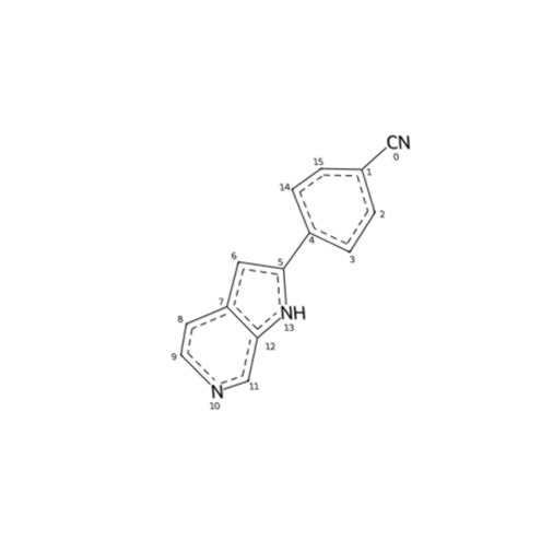 N#Cc1ccc(-c2cc3ccncc3[nH]2)cc1